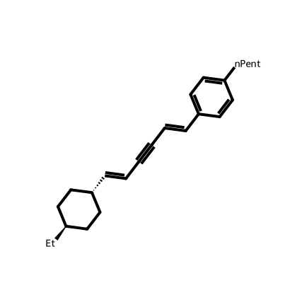 CCCCCc1ccc(C=CC#CC=C[C@H]2CC[C@H](CC)CC2)cc1